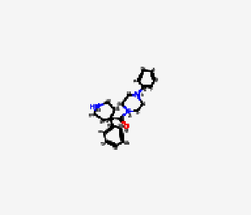 O=C(N1CCN(c2ccccc2)CC1)C1(c2ccccc2)CCNCC1